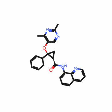 Cc1ncc(O[C@@]2(C3C=CC=CC3)C[C@H]2C(=O)Nc2cccc3cccnc23)c(C)n1